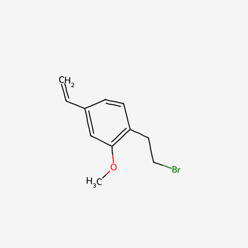 C=Cc1ccc(CCBr)c(OC)c1